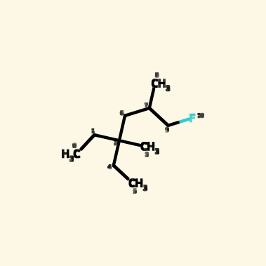 CCC(C)(CC)CC(C)CF